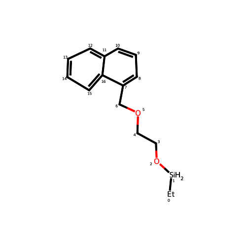 CC[SiH2]OCCOCc1cccc2ccccc12